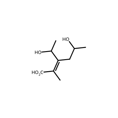 CC(C(=O)O)=C(CC(C)O)C(C)O